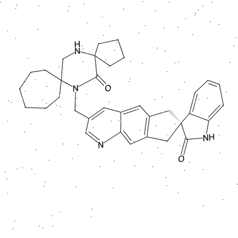 O=C1N(Cc2cnc3cc4c(cc3c2)C[C@@]2(C4)C(=O)Nc3ccccc32)C2(CCCCCC2)CNC12CCCC2